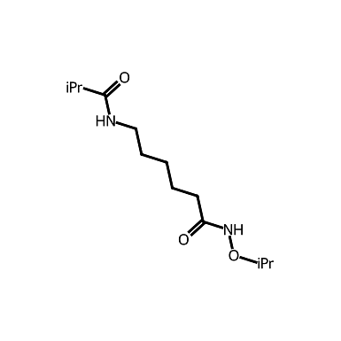 CC(C)ONC(=O)CCCCCNC(=O)C(C)C